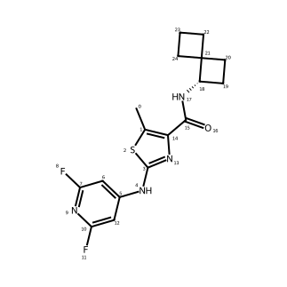 Cc1sc(Nc2cc(F)nc(F)c2)nc1C(=O)N[C@H]1CCC12CCC2